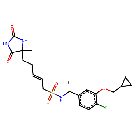 C[C@@H](NS(=O)(=O)C/C=C/CCC1(C)NC(=O)NC1=O)c1ccc(F)c(OCC2CC2)c1